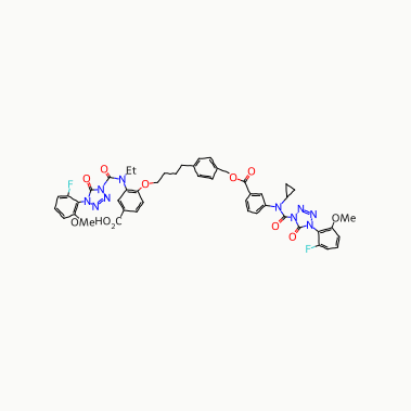 CCN(C(=O)n1nnn(-c2c(F)cccc2OC)c1=O)c1cc(C(=O)O)ccc1OCCCCc1ccc(COC(=O)c2cccc(N(C(=O)n3nnn(-c4c(F)cccc4OC)c3=O)C3CC3)c2)cc1